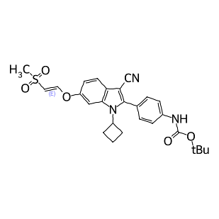 CC(C)(C)OC(=O)Nc1ccc(-c2c(C#N)c3ccc(O/C=C/S(C)(=O)=O)cc3n2C2CCC2)cc1